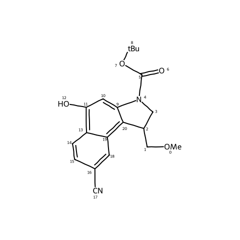 COCC1CN(C(=O)OC(C)(C)C)c2cc(O)c3ccc(C#N)cc3c21